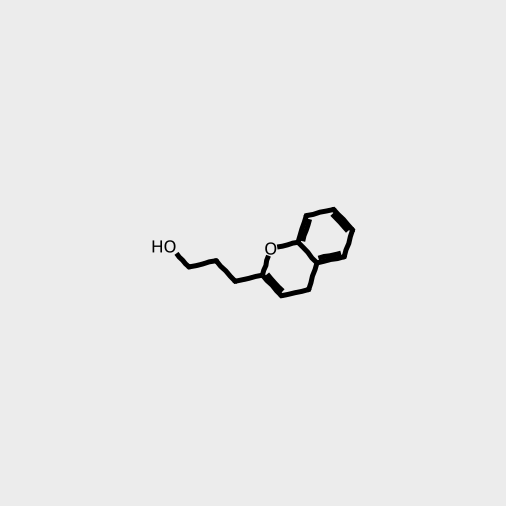 OCCCC1=CCc2ccccc2O1